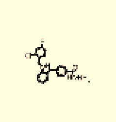 NNC(=O)c1ccc(-c2nn(Cc3ccc(F)cc3Cl)c3ccccc23)cc1